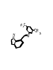 FC(F)(F)c1cc(/N=C/c2cccc3cc[nH]c23)cc(C(F)(F)F)c1